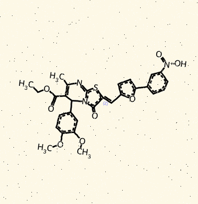 CCOC(=O)C1=C(C)N=c2s/c(=C\c3ccc(-c4cccc([N+](=O)O)c4)o3)c(=O)n2C1c1ccc(OC)c(OC)c1